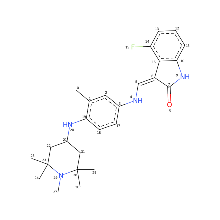 Cc1cc(NC=C2C(=O)Nc3cccc(F)c32)ccc1NC1CC(C)(C)N(C)C(C)(C)C1